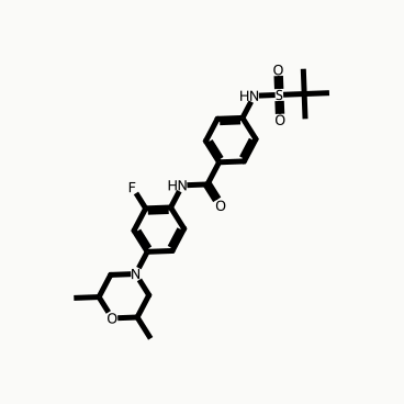 CC1CN(c2ccc(NC(=O)c3ccc(NS(=O)(=O)C(C)(C)C)cc3)c(F)c2)CC(C)O1